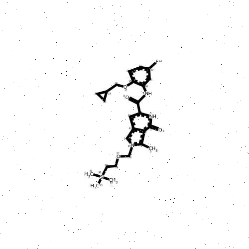 Cc1c2c(=O)[nH]c(C(=O)Nc3cc(F)ccc3OCC3CC3)cc2cn1COCC[Si](C)(C)C